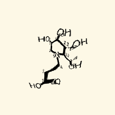 O=C(O)CCN1C[C@@H](O)C(O)[C@H](O)C1CO